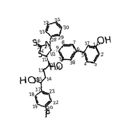 Oc1cccc(-c2ccc([C@@H]3[C@@H](CCCC(O)c4ccc(F)cc4)SC(=S)N3c3ccccc3)c(O)c2)c1